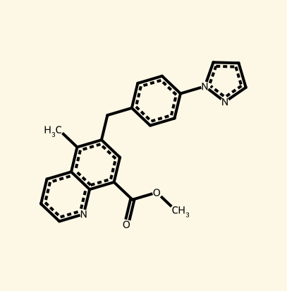 COC(=O)c1cc(Cc2ccc(-n3cccn3)cc2)c(C)c2cccnc12